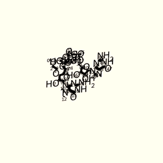 COCCOC1[C@H](O)[C@H](n2c[n+](C)c3c(=O)[nH]c(N)nc32)O[C@@H]1[C@@H](C)OP(=O)(O)OP(=O)(O)OP(=O)(O)OC[C@H]1O[C@@H](n2cnc3c(=O)[nH]c(N)nc32)[C@@H](O)C1O